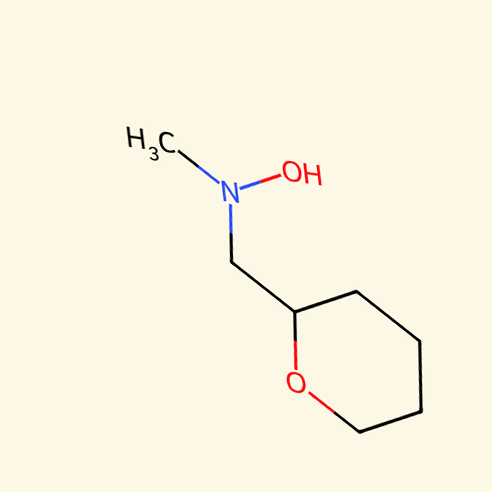 CN(O)CC1CCCCO1